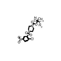 CC(C)(C)OC(=O)N1CCN(S(=O)(=O)c2cc([N+](=O)[O-])ccc2Cl)CC1